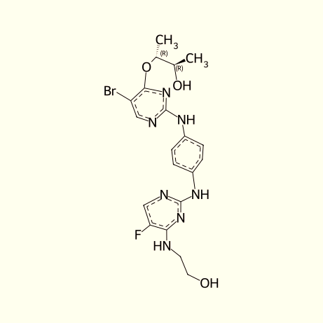 C[C@@H](O)[C@@H](C)Oc1nc(Nc2ccc(Nc3ncc(F)c(NCCO)n3)cc2)ncc1Br